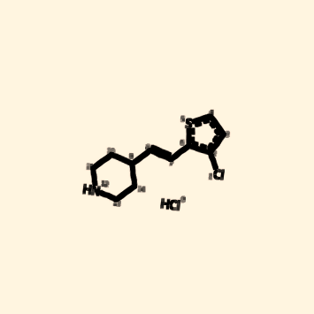 Cl.Clc1ccsc1C=CC1CCNCC1